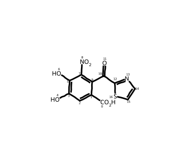 O=C(O)c1cc(O)c(O)c([N+](=O)[O-])c1C(=O)c1nccs1